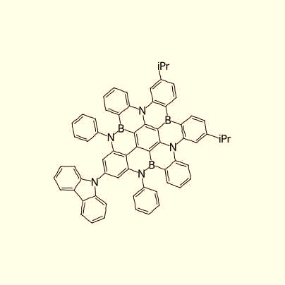 CC(C)c1ccc2c(c1)N1c3ccccc3B3c4c5c6c7c(c41)B2c1ccc(C(C)C)cc1N7c1ccccc1B6N(c1ccccc1)c1cc(-n2c4ccccc4c4ccccc42)cc(c1-5)N3c1ccccc1